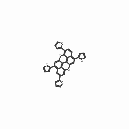 c1csc(-c2cc3sc4cc(-c5cccs5)c5ccc(-c6cccs6)c6sc7cc(-c8cccs8)c(c2)c3c7-c4c56)c1